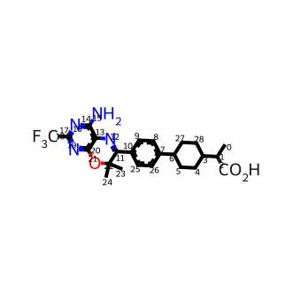 CC(C(=O)O)C1CCC(c2ccc(C3=Nc4c(N)nc(C(F)(F)F)nc4OC3(C)C)cc2)CC1